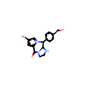 O=C1c2cc(Br)cn2C(c2ccc(CO)cc2)C2NCCN12